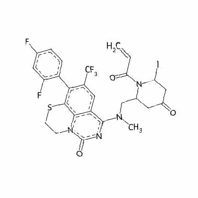 C=CC(=O)N1C(I)CC(=O)CC1CN(C)c1nc(=O)n2c3c(c(-c4ccc(F)cc4F)c(C(F)(F)F)cc13)SCC2